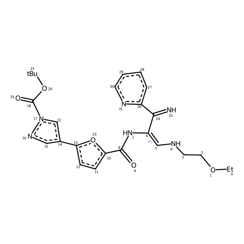 CCOCCN/C=C(/NC(=O)c1ccc(-c2cnn(C(=O)OC(C)(C)C)c2)o1)C(=N)c1ccccn1